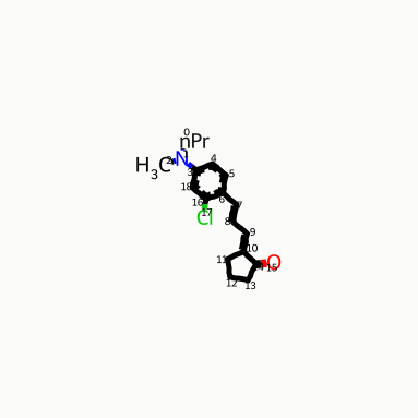 CCCN(C)c1ccc(/C=C/C=C2\CCCC2=O)c(Cl)c1